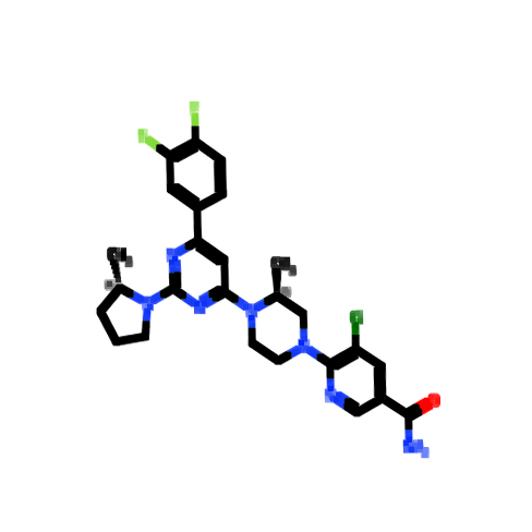 C[C@H]1CN(c2ncc(C(N)=O)cc2Cl)CCN1c1cc(-c2ccc(F)c(F)c2)nc(N2CCC[C@@H]2C)n1